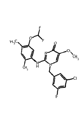 COc1cn(Cc2cc(F)cc(Cl)c2)c(Nc2cc(OC(F)F)c(C)cc2C)nc1=O